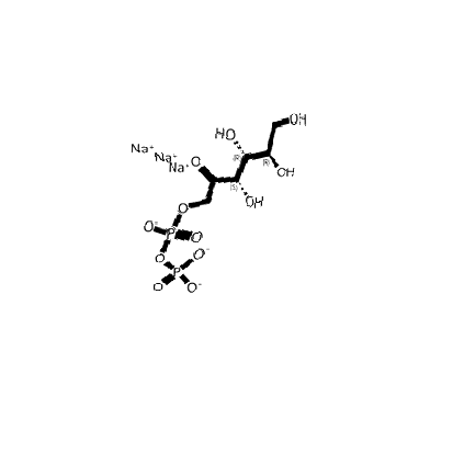 O=C(COP(=O)([O-])OP(=O)([O-])[O-])[C@@H](O)[C@H](O)[C@H](O)CO.[Na+].[Na+].[Na+]